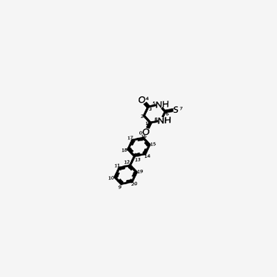 O=C1CC(=O)NC(=S)N1.c1ccc(-c2ccccc2)cc1